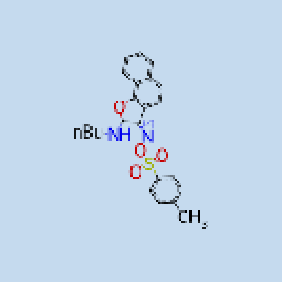 CCCCNC1Oc2c(ccc3ccccc23)/C1=N/OS(=O)(=O)c1ccc(C)cc1